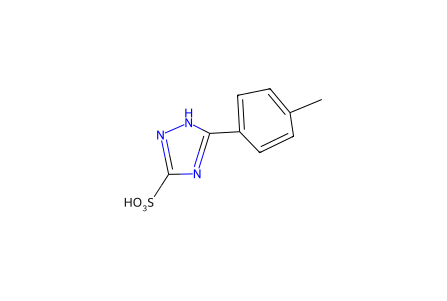 Cc1ccc(-c2nc(S(=O)(=O)O)n[nH]2)cc1